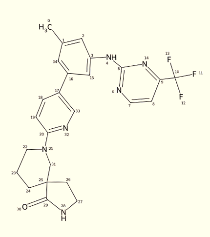 Cc1cc(Nc2nccc(C(F)(F)F)n2)cc(-c2ccc(N3CCCC4(CCNC4=O)C3)nc2)c1